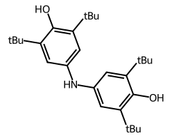 CC(C)(C)c1cc(Nc2cc(C(C)(C)C)c(O)c(C(C)(C)C)c2)cc(C(C)(C)C)c1O